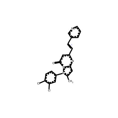 Cc1cc2nc(/C=C/c3cccnc3)cc(=O)n2n1-c1ccc(Cl)c(Cl)c1